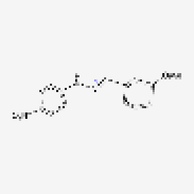 COc1cccc(/C=N/Nc2ccc([N+](=O)[O-])cc2)c1